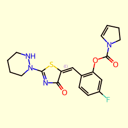 O=C1N=C(N2CCCCN2)S/C1=C/c1ccc(F)cc1OC(=O)N1C=CCC1